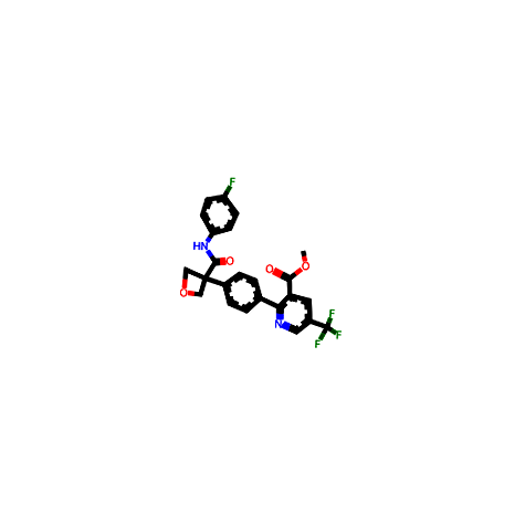 COC(=O)c1cc(C(F)(F)F)cnc1-c1ccc(C2(C(=O)Nc3ccc(F)cc3)COC2)cc1